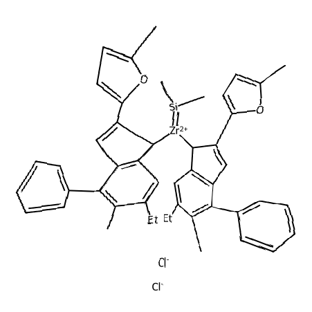 CCc1cc2c(c(-c3ccccc3)c1C)C=C(c1ccc(C)o1)[CH]2[Zr+2]([CH]1C(c2ccc(C)o2)=Cc2c1cc(CC)c(C)c2-c1ccccc1)=[Si](C)C.[Cl-].[Cl-]